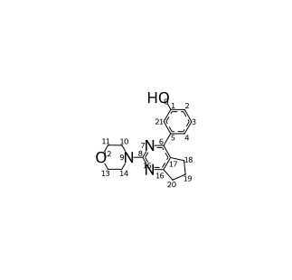 Oc1cccc(-c2nc(N3CCOCC3)nc3c2CCC3)c1